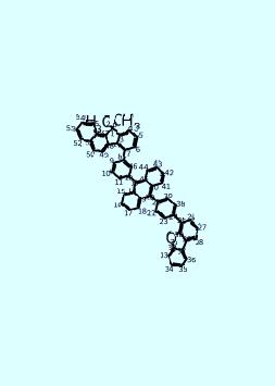 CC1(C)c2cccc(-c3cccc(-c4c5ccccc5c(-c5ccc(-c6cccc7c6oc6ccccc67)cc5)c5ccccc45)c3)c2-c2ccc3ccccc3c21